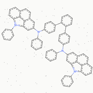 c1ccc(N(c2ccc(-c3ccccc3-c3ccc(N(c4ccccc4)c4cc5ccc6cccc7c6c5c(c4)n7-c4ccccc4)cc3)cc2)c2cc3ccc4cccc5c4c3c(c2)n5-c2ccccc2)cc1